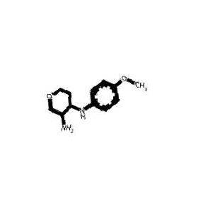 COc1ccc(NC2CCO[CH]C2N)cc1